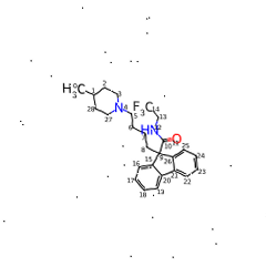 CC1CCN(CCCCC2(C(=O)NCC(F)(F)F)c3ccccc3-c3ccccc32)CC1